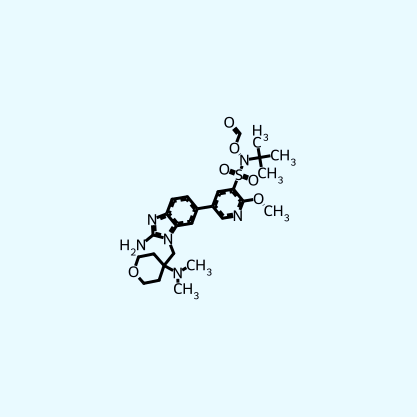 COc1ncc(-c2ccc3nc(N)n(CC4(N(C)C)CCOCC4)c3c2)cc1S(=O)(=O)N(OC=O)C(C)(C)C